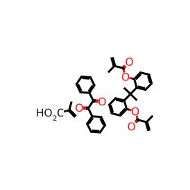 C=C(C)C(=O)O.C=C(C)C(=O)Oc1ccccc1C(C)(C)c1ccccc1OC(=O)C(=C)C.O=C(C(=O)c1ccccc1)c1ccccc1